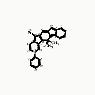 CC1(C)C2=c3ccccc3=CC2=Cc2c(Br)c3ccn(-c4ccccc4)cc-3c21